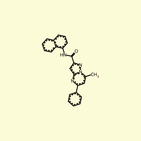 Cc1cc(-c2ccccc2)nc2cc(C(=O)Nc3cccc4ccccc34)nn12